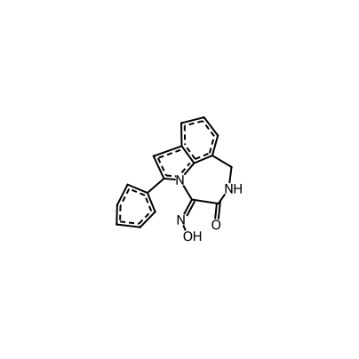 O=C1NCc2cccc3cc(-c4ccccc4)n(c23)C1=NO